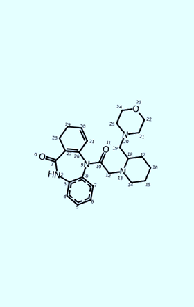 O=C1Nc2ccccc2N(C(=O)CN2CCCCC2CN2CCOCC2)C2=C1CCC=C2